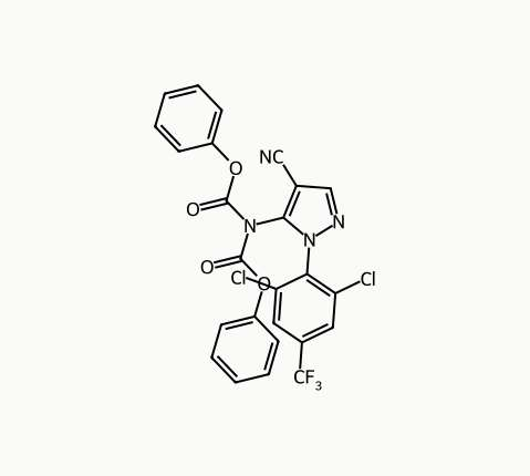 N#Cc1cnn(-c2c(Cl)cc(C(F)(F)F)cc2Cl)c1N(C(=O)Oc1ccccc1)C(=O)Oc1ccccc1